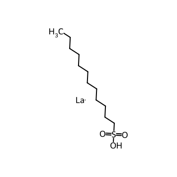 CCCCCCCCCCCCS(=O)(=O)O.[La]